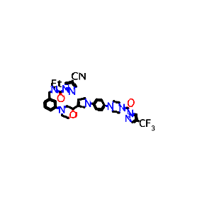 CCN(Cc1cccc(N2CCOC(C3CCN(c4ccc(N5CCN(C(=O)n6cc(C(F)(F)F)cn6)CC5)cc4)C3)C2)c1)C(=O)n1cc(C#N)cn1